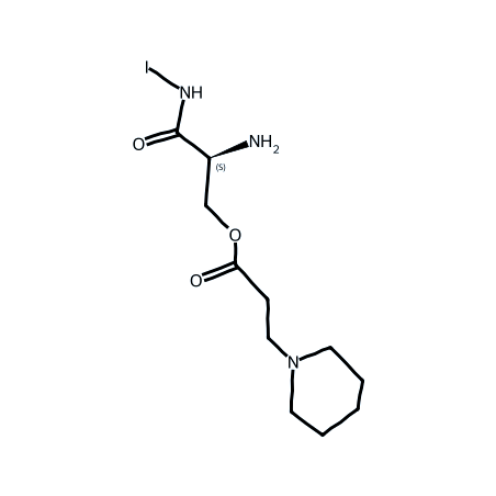 N[C@@H](COC(=O)CCN1CCCCC1)C(=O)NI